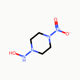 O=[N+]([O-])N1CCN(NO)CC1